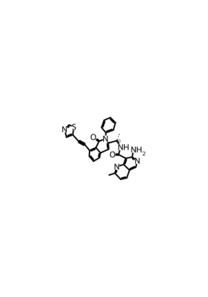 Cc1ccc2cnc(N)c(C(=O)N[C@@H](C)c3cc4cccc(C#Cc5cncs5)c4c(=O)n3-c3ccccc3)c2n1